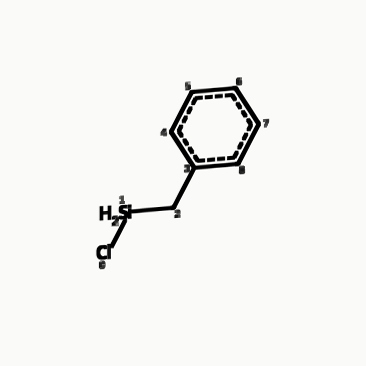 Cl[SiH2]Cc1ccccc1